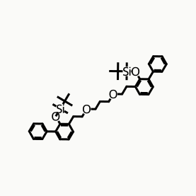 CC(C)(C)[Si](C)(C)Oc1c(CCOCCCOCCc2cccc(-c3ccccc3)c2O[Si](C)(C)C(C)(C)C)cccc1-c1ccccc1